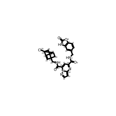 O=C(NCc1ccc2oc(=O)[nH]c2c1)c1cc(C(=O)NCC23C=C4C5(Cl)CC42C5C3)n2nccc2n1